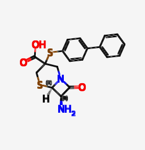 N[C@@H]1C(=O)N2CC(Sc3ccc(-c4ccccc4)cc3)(C(=O)O)CS[C@H]12